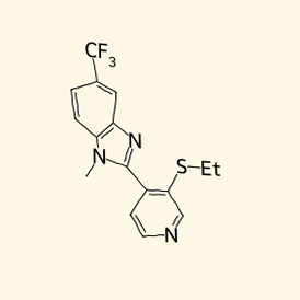 CCSc1cnccc1-c1nc2cc(C(F)(F)F)ccc2n1C